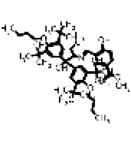 CCCCOc1c(C(C)(C)C)cc(C(O)(c2cc(C(C)(C)C)c(OCCCC)c(C(C)(C)C)c2)C(CC)N=Cc2cc(C(=O)OC)ccc2O)cc1C(C)(C)C